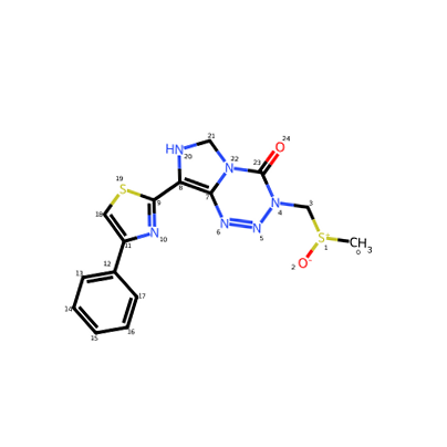 C[S+]([O-])CN1N=NC2=C(c3nc(-c4ccccc4)cs3)NCN2C1=O